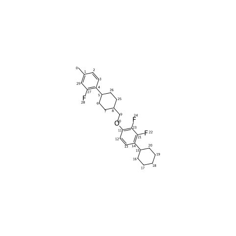 Cc1ccc(C2CCC(COc3ccc(C4CCCCC4)c(F)c3F)CC2)c(F)c1